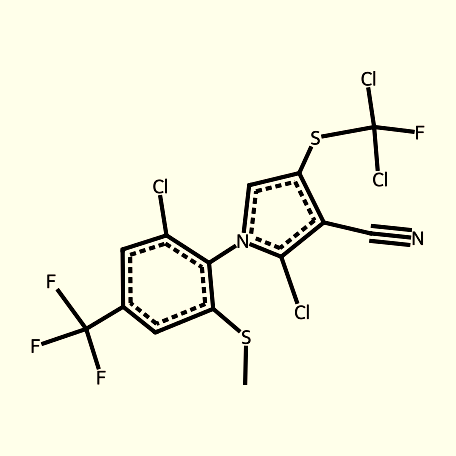 CSc1cc(C(F)(F)F)cc(Cl)c1-n1cc(SC(F)(Cl)Cl)c(C#N)c1Cl